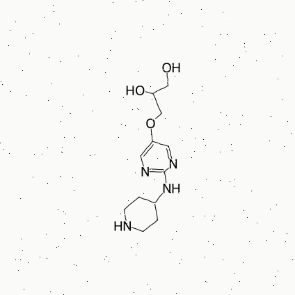 OCC(O)COc1cnc(NC2CCNCC2)nc1